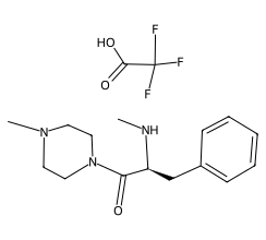 CN[C@@H](Cc1ccccc1)C(=O)N1CCN(C)CC1.O=C(O)C(F)(F)F